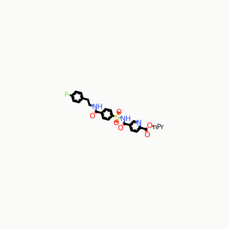 CCCOC(=O)c1ccc(C(=O)NS(=O)(=O)c2ccc(C(=O)NCCc3ccc(F)cc3)cc2)cn1